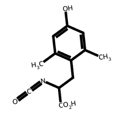 Cc1cc(O)cc(C)c1CC(N=C=O)C(=O)O